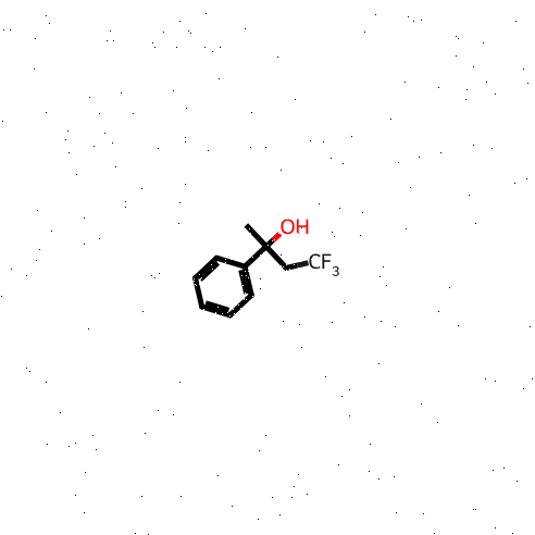 CC(O)(CC(F)(F)F)c1ccccc1